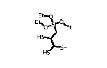 CCO[Si](CC(S)C(S)S)(OCC)OCC